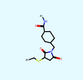 CC(C)CSC1CC(=O)N(CC2CCC(C(=O)NC(C)C)CC2)C1=O